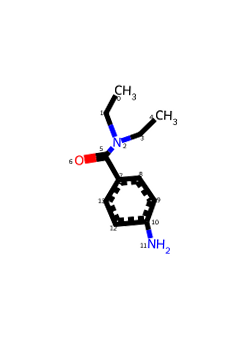 CCN(CC)C(=O)c1ccc(N)cc1